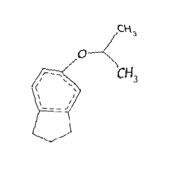 CC(C)Oc1ccc2c(c1)CCC2